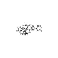 CC(C)CCc1nc(C(C)N)nn1Cc1ccc(-c2ccccc2-c2nnn[nH]2)cc1